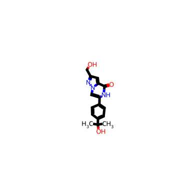 CC(C)(O)c1ccc(-c2cn3nc(CO)cc3c(=O)[nH]2)cc1